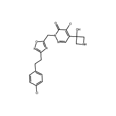 O=c1c(Cl)c(C2(O)CNC2)cnn1Cc1nc(CCc2ccc(Cl)cc2)no1